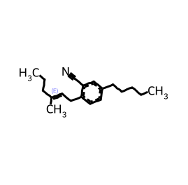 CCCCCc1ccc(C/C=C(\C)CCC)c(C#N)c1